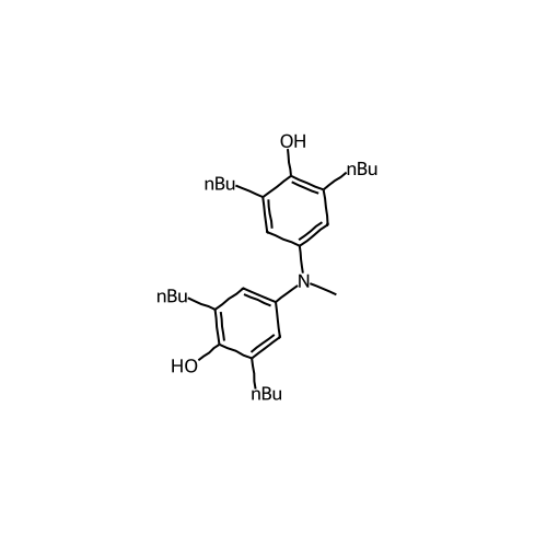 CCCCc1cc(N(C)c2cc(CCCC)c(O)c(CCCC)c2)cc(CCCC)c1O